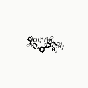 Cn1nccc1C(=O)N1CCN(c2cccc(-c3ccc4c(n3)n(C)c(=O)n4CC(C)(C)C)c2)CC1